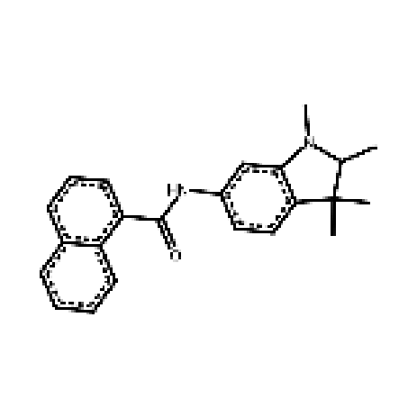 CC1N(C)c2cc(NC(=O)c3cccc4ccccc34)ccc2C1(C)C